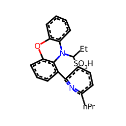 CCCc1cccc(-c2cccc3c2N(C(CC)S(=O)(=O)O)c2ccccc2O3)n1